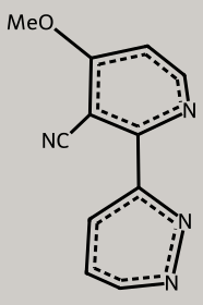 COc1ccnc(-c2cccnn2)c1C#N